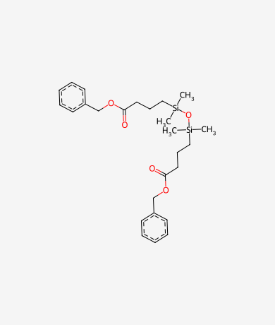 C[Si](C)(CCCC(=O)OCc1ccccc1)O[Si](C)(C)CCCC(=O)OCc1ccccc1